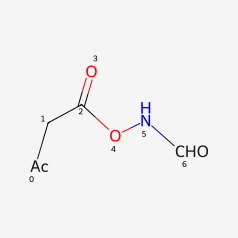 CC(=O)CC(=O)ONC=O